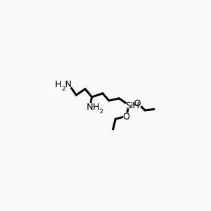 CCO[SiH](CCCC(N)CCN)OCC